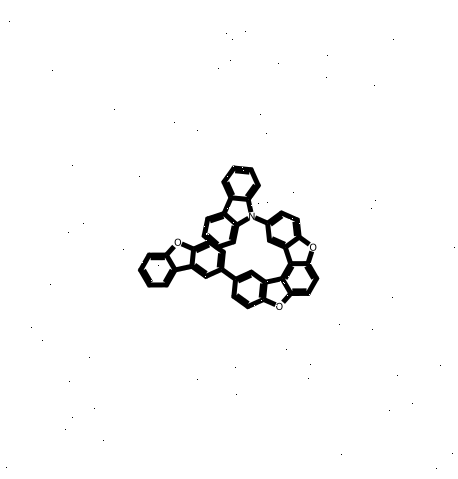 c1ccc2c(c1)oc1ccc(-c3ccc4oc5ccc6oc7ccc(-n8c9ccccc9c9ccccc98)cc7c6c5c4c3)cc12